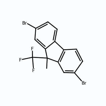 CC1(C(F)(F)F)c2cc(Br)ccc2-c2ccc(Br)cc21